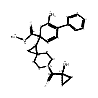 CC1=C(c2ccccc2)C=CC(C(=O)OC(C)(C)C)(C2CC23CCN(C(=O)C2(O)CC2)CC3)C1